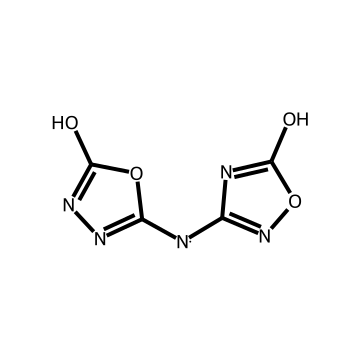 Oc1nc([N]c2nnc(O)o2)no1